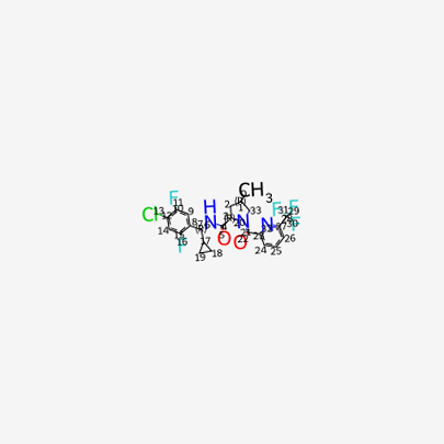 C[C@@H]1C[C@H](C(=O)N[C@@H](c2cc(F)c(Cl)cc2F)C2CC2)N(C(=O)c2cccc(C(F)(F)F)n2)C1